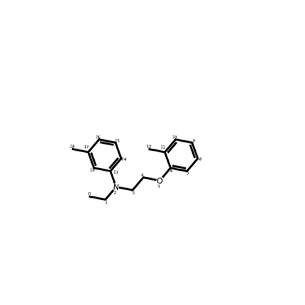 CCN(CCOc1ccccc1C)c1cccc(C)c1